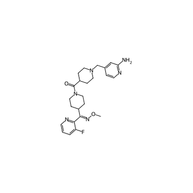 CO/N=C(/c1ncccc1F)C1CCN(C(=O)C2CCN(Cc3ccnc(N)c3)CC2)CC1